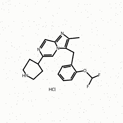 Cc1nc2cnc(C3CCNCC3)cn2c1Cc1ccccc1OC(F)F.Cl